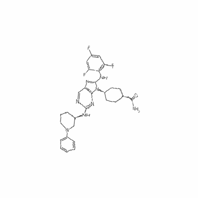 NC(=O)[C@H]1CC[C@@H](n2c(Nc3c(F)cc(F)cc3F)nc3cnc(N[C@@H]4CCCN(c5ccccc5)C4)nc32)CC1